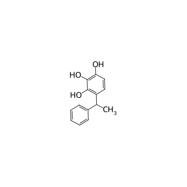 CC(c1ccccc1)c1ccc(O)c(O)c1O